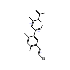 C=C(C)C(C)/C(C)=C\C(=C/C)c1cc(/C=C/CC)c(F)cc1C